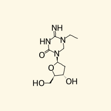 CCN1CN([C@H]2C[C@H](O)[C@@H](CO)O2)C(=O)NC1=N